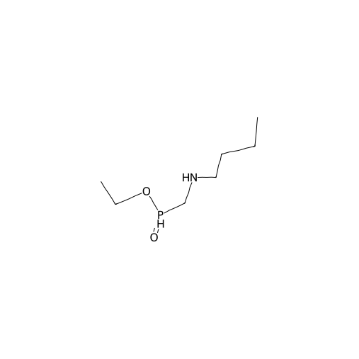 CCCCNC[PH](=O)OCC